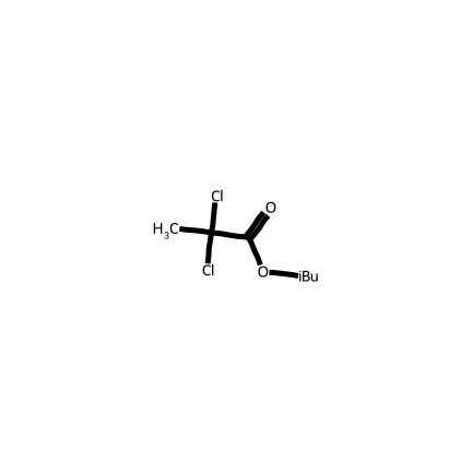 CCC(C)OC(=O)C(C)(Cl)Cl